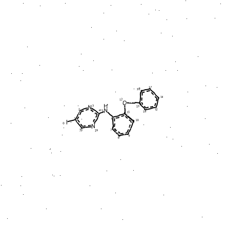 Ic1cnc(Nc2ccccc2Oc2ccccc2)nc1